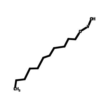 CCCCCCCCCCC[O][V][OH]